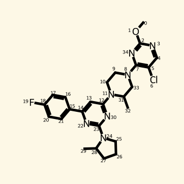 COc1ncc(Cl)c(N2CCN(c3cc(-c4ccc(F)cc4)nc(N4CCCC4C)n3)C(C)C2)n1